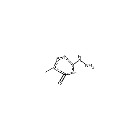 Cc1nnc(NN)[nH]c1=O